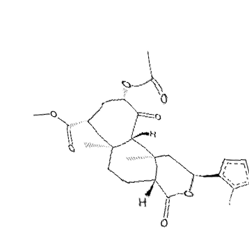 COC(=O)[C@@H]1C[C@H](OC(C)=O)C(=O)[C@H]2[C@@]1(C)CC[C@H]1C(=O)O[C@H](c3ccoc3C)C[C@]21C